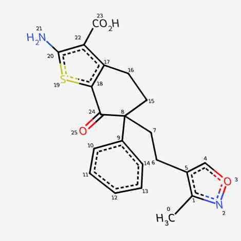 Cc1nocc1CCC1(c2ccccc2)CCc2c(sc(N)c2C(=O)O)C1=O